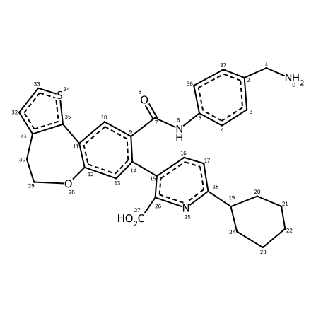 NCc1ccc(NC(=O)c2cc3c(cc2-c2ccc(C4CCCCC4)nc2C(=O)O)OCCc2ccsc2-3)cc1